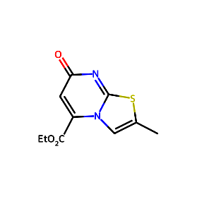 CCOC(=O)c1cc(=O)nc2sc(C)cn12